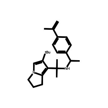 C=C(C)c1ccc(C(C)NC(C)(C)c2c(C(C)(C)C)cn3c2CCC3)cc1